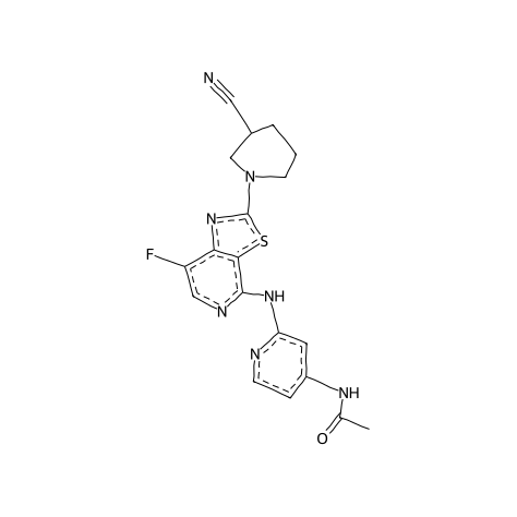 CC(=O)Nc1ccnc(Nc2ncc(F)c3nc(N4CCCC(C#N)C4)sc23)c1